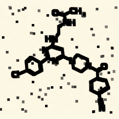 CC(=O)NCCNc1cc(N2CCN(C(=O)c3ccc(C#N)cc3)CC2)nc(-c2ccc(Cl)cc2)n1